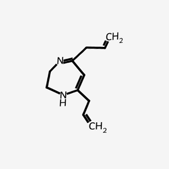 C=CCC1=CC(CC=C)=NCCN1